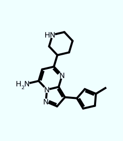 CC1=CC(c2cnn3c(N)cc(C4CCCNC4)nc23)=CC1